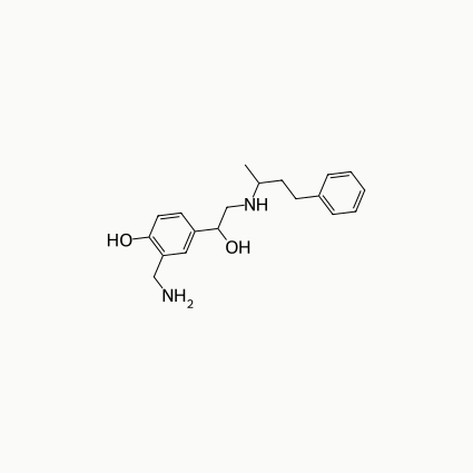 CC(CCc1ccccc1)NCC(O)c1ccc(O)c(CN)c1